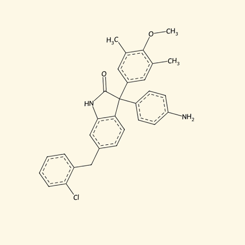 COc1c(C)cc(C2(c3ccc(N)cc3)C(=O)Nc3cc(Cc4ccccc4Cl)ccc32)cc1C